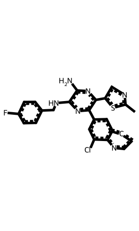 Cc1ncc(-c2nc(N)c(NCc3ccc(F)cc3)nc2-c2cc(Cl)c3ncccc3c2)s1